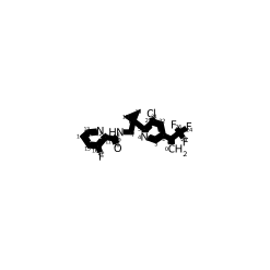 C=C(c1cnc(C2(CNC(=O)c3ncccc3F)CC2)c(Cl)c1)C(F)(F)F